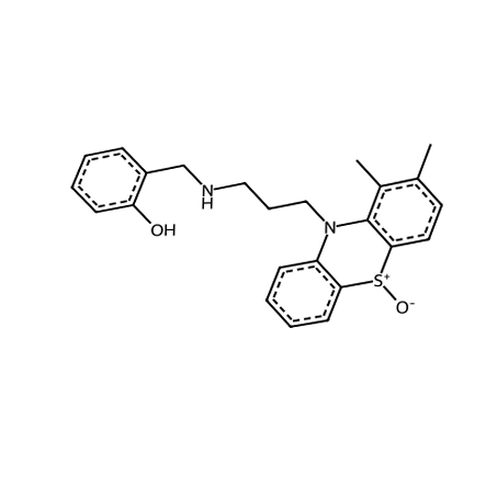 Cc1ccc2c(c1C)N(CCCNCc1ccccc1O)c1ccccc1[S+]2[O-]